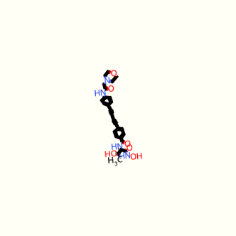 C[C@@H](O)[C@H](NC(=O)c1ccc(C#CC#Cc2ccc(NC(=O)CN3CCOCC3)cc2)cc1)C(=O)NO